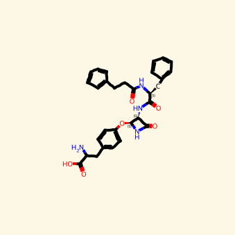 NC(Cc1ccc(O[C@@H]2NC(=O)[C@H]2NC(=O)[C@H](Cc2ccccc2)NC(=O)CCc2ccccc2)cc1)C(=O)O